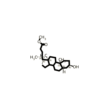 COC(=O)CC[C@@H](C)[C@H]1CCC2C3CC[C@@H]4C[C@H](O)CC[C@]4(C)C3CC[C@@]21C